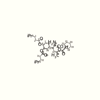 CC(C)CCC(=O)Oc1ccc(C(CC(C)OC(=O)C2CCCCC2)[C@H](N)C(=O)O)cc1OC(=O)CCC(C)C